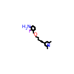 Cc1cc(C#CCCCOCc2cccc(N)c2I)cc(C)n1